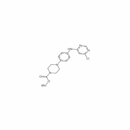 CC(C)(C)OC(=O)N1CCN(c2ccc(Nc3cc(Cl)ncn3)cc2)CC1